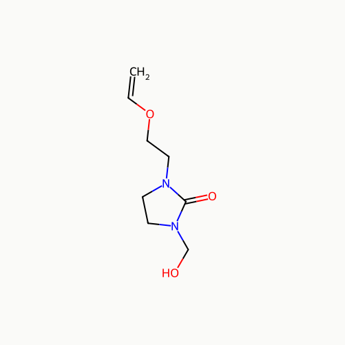 C=COCCN1CCN(CO)C1=O